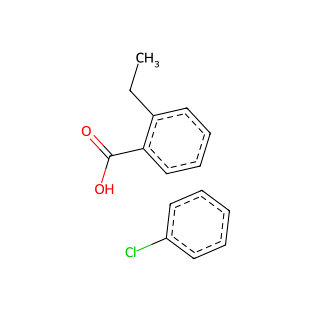 CCc1ccccc1C(=O)O.Clc1ccccc1